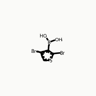 OB(O)c1c(Br)csc1Br